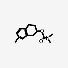 Cc1ccc2c(c1)CC(OC(=O)N(C)C)CC2